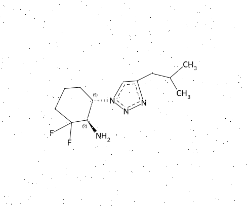 CC(C)Cc1cn([C@H]2CCCC(F)(F)[C@@H]2N)nn1